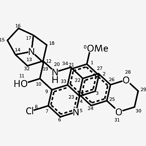 COc1ccc2ncc(Cl)c(C(O)CN3C4CCC3CC(NCc3ccc5c(c3)OCCO5)C4)c2c1